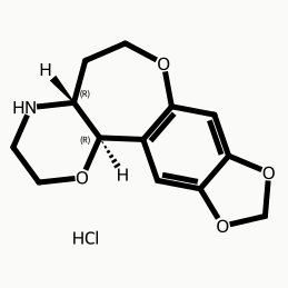 Cl.c1c2c(cc3c1OCC[C@H]1NCCO[C@H]31)OCO2